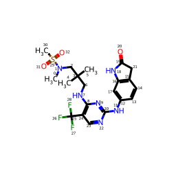 CN(CC(C)(C)CNc1nc(Nc2ccc3c(c2)NC(=O)C3)ncc1C(F)(F)F)S(C)(=O)=O